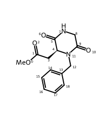 COC(=O)C[C@H]1C(=O)NCC(=O)N1Cc1ccccc1